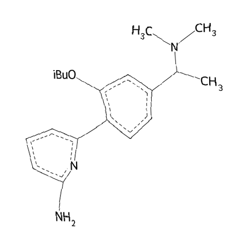 CC(C)COc1cc(C(C)N(C)C)ccc1-c1cccc(N)n1